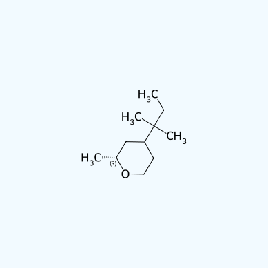 CCC(C)(C)C1CCO[C@H](C)C1